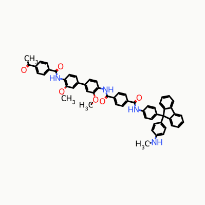 CNc1ccc(C2(c3ccc(NC(=O)c4ccc(C(=O)Nc5ccc(-c6ccc(NC(=O)c7ccc(C(C)=O)cc7)c(OC)c6)cc5OC)cc4)cc3)c3ccccc3-c3ccccc32)cc1